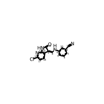 N#Cc1cccc(N/C=C2\C(=O)Nc3nc(Cl)ccc32)c1